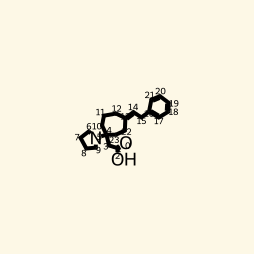 O=C(O)CC1(N2CCCC2)CCC/C(=C/Cc2ccccc2)CC1